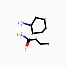 CCCC(N)=O.NC1CCCCC1